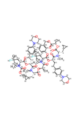 C[C@@H](OC(=O)[C@H](CC1CC1)N(C)C(=O)[C@@H](CCc1ccc(N2CCOCC2)cc1)OC(=O)[C@H](CC(C)(C)F)N(C)C(=O)[C@@H](C)OC(=O)[C@H](CC1CC1)N(C)C(=O)[C@@H](CCc1ccc(N2CCOCC2)cc1)OC(=O)[C@H](CC(C)(C)F)N(C)C(=O)OC(C)(C)C)C(=O)OCc1ccccc1